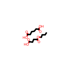 CCCCOC(=O)CCC(=O)O.O=C(O)CCCCC(=O)O